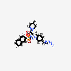 CC1CCN(C(=O)[C@H](Cc2ccc(CN)cc2)NS(=O)(=O)c2ccc3ccccc3c2)CC1